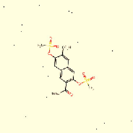 COC(=O)c1cc2cc(OS(=O)(=O)C(F)(F)F)c(C(=O)O)cc2cc1OS(=O)(=O)C(F)(F)F